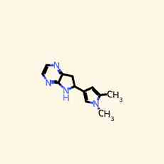 Cc1cc(C2Cc3nccnc3N2)cn1C